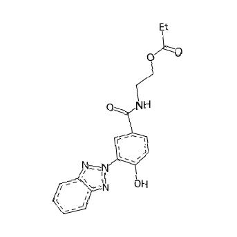 CCC(=O)OCCNC(=O)c1ccc(O)c(-n2nc3ccccc3n2)c1